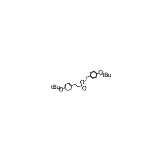 CC(C)(C)OC1=CC=C(CCC(=O)OCCc2ccc(OC(C)(C)C)cc2)CC1